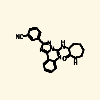 N#Cc1cccc(-c2nc3c4ccccc4nc(N[C@H]4CCCCNC4=O)n3n2)c1